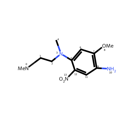 CNCCN(C)c1cc(OC)c(N)cc1[N+](=O)[O-]